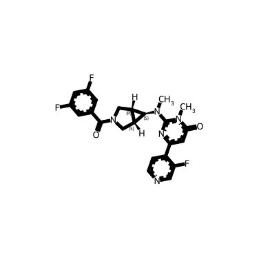 CN(c1nc(-c2ccncc2F)cc(=O)n1C)[C@H]1[C@@H]2CN(C(=O)c3cc(F)cc(F)c3)C[C@@H]21